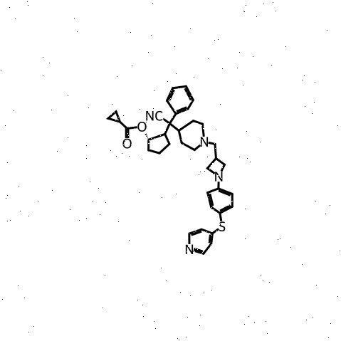 N#CC(c1ccccc1)(C1CCN(CC2CN(c3ccc(Sc4ccncc4)cc3)C2)CC1)C1CCC[C@@H]1OC(=O)C1CC1